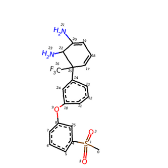 CS(=O)(=O)c1cccc(Oc2cccc(C3(C(F)(F)F)C=CC=C(N)C3N)c2)c1